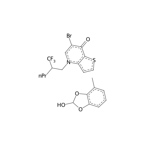 CCCC(Cn1cc(Br)c(=O)c2sccc21)C(F)(F)F.Cc1cccc2c1OC(O)O2